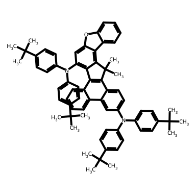 CC(C)(C)c1ccc(N(c2ccc(C(C)(C)C)cc2)c2ccc3c4c(c5ccccc5c3c2)-c2c(N(c3ccc(C(C)(C)C)cc3)c3ccc(C(C)(C)C)cc3)cc3oc5ccccc5c3c2C4(C)C)cc1